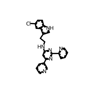 Clc1ccc2[nH]cc(CCNc3cc(-c4cccnc4)nc(-c4ccccn4)n3)c2c1